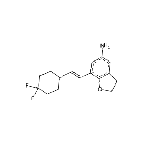 Nc1cc(/C=C/C2CCC(F)(F)CC2)c2c(c1)CCO2